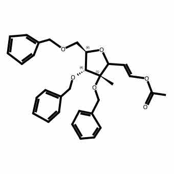 CC(=O)OC=CC1O[C@H](COCc2ccccc2)[C@@H](OCc2ccccc2)[C@@]1(C)OCc1ccccc1